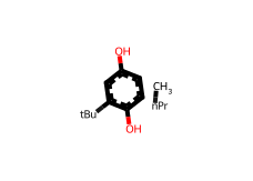 CC(C)(C)c1cc(O)ccc1O.CCCC